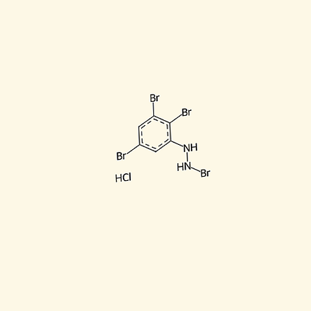 BrNNc1cc(Br)cc(Br)c1Br.Cl